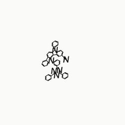 N#Cc1ccc2c(c1)c1c(ccc3c4ccccc4n(-c4cccc(-c5nc(-c6ccccc6)nc(-c6ccccc6)n5)c4)c31)n2-c1ccccc1